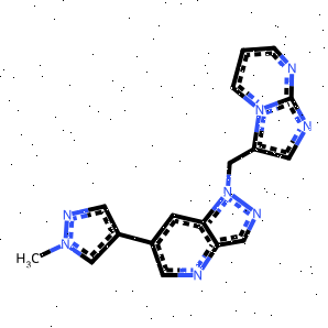 Cn1cc(-c2cnc3cnn(Cc4cnc5ncccn45)c3c2)cn1